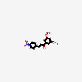 COc1cc(C)cc(C(=O)/C=C/c2ccc([N+](=O)[O-])cc2)c1